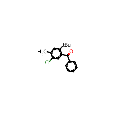 Cc1cc(C(C)(C)C)c(C(=O)c2ccccc2)cc1Cl